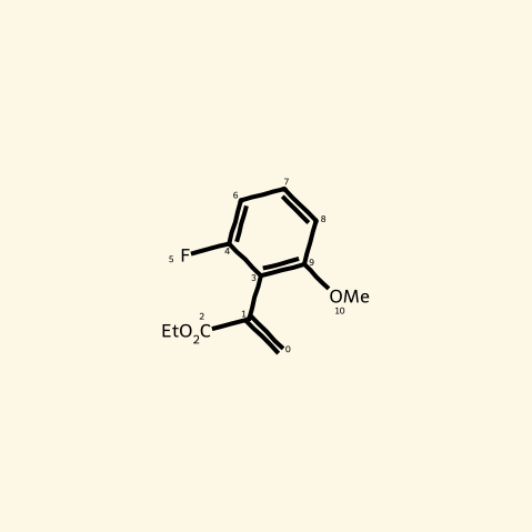 C=C(C(=O)OCC)c1c(F)cccc1OC